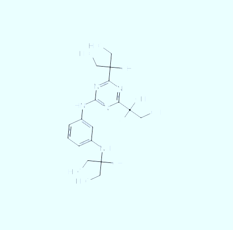 CCC(C)(CC)Nc1cccc(Nc2nc(C(C)(C)CC)nc(C(C)(CC)CC)n2)c1